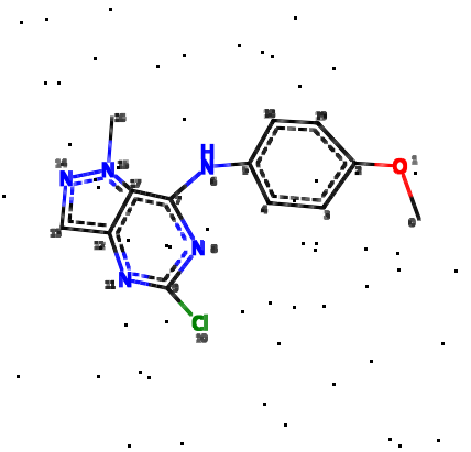 COc1ccc(Nc2nc(Cl)nc3cnn(C)c23)cc1